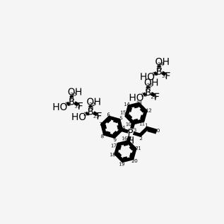 C=CC[PH](c1ccccc1)(c1ccccc1)c1ccccc1.OB(O)F.OB(O)F.OB(O)F.OB(O)F